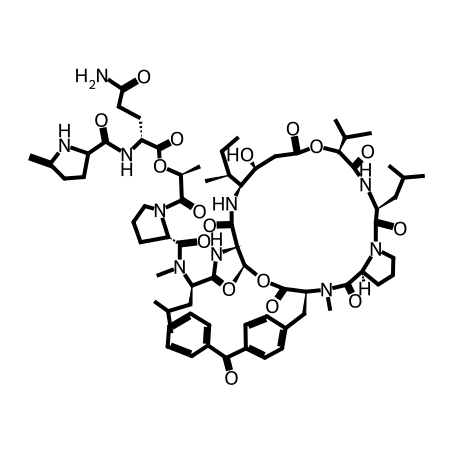 C=C1CCC(C(=O)N[C@H](CCC(N)=O)C(=O)O[C@@H](C)C(=O)N2CCC[C@H]2C(=O)N(C)[C@H](CC(C)C)C(=O)N[C@H]2C(=O)N[C@@H]([C@@H](C)CC)[C@@H](O)CC(=O)O[C@@H](C(C)C)C(=O)N[C@@H](CC(C)C)C(=O)N3CCC[C@H]3C(=O)N(C)[C@@H](Cc3ccc(C(=O)c4ccccc4)cc3)C(=O)O[C@H]2C)N1